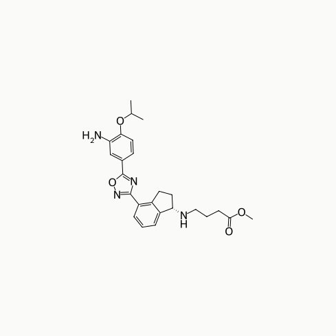 COC(=O)CCCN[C@H]1CCc2c(-c3noc(-c4ccc(OC(C)C)c(N)c4)n3)cccc21